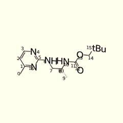 Cc1ccnc(NC[C@@H](C)NC(=O)OCC(C)(C)C)n1